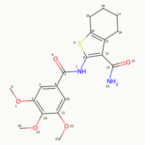 COc1cc(C(=O)Nc2sc3c(c2C(N)=O)CCCC3)cc(OC)c1OC